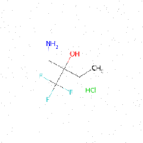 CCC(O)(CN)C(F)(F)F.Cl